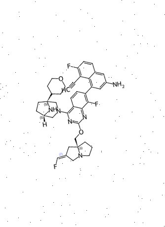 C#Cc1c(F)ccc2cc(N)cc(-c3ccc4c(N5C[C@@H]6CC[C@](C7CCOCC7)(C5)N6)nc(OC[C@@]56CCCN5C/C(=C\F)C6)nc4c3F)c12